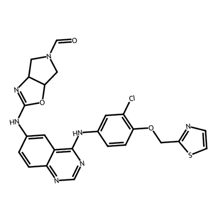 O=CN1CC2N=C(Nc3ccc4ncnc(Nc5ccc(OCc6nccs6)c(Cl)c5)c4c3)OC2C1